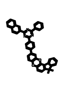 CC1(C)c2ccccc2-c2c1ccc1c2Oc2cc(-c3ccc(-c4nc(-c5ccccc5)nc(-c5ccc6ccccc6c5)n4)cc3)ccc2O1